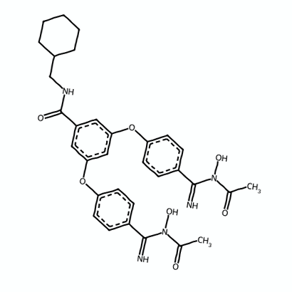 CC(=O)N(O)C(=N)c1ccc(Oc2cc(Oc3ccc(C(=N)N(O)C(C)=O)cc3)cc(C(=O)NCC3CCCCC3)c2)cc1